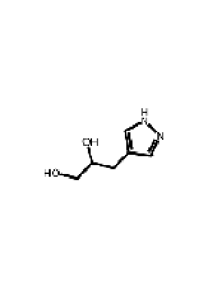 OCC(O)Cc1[c]n[nH]c1